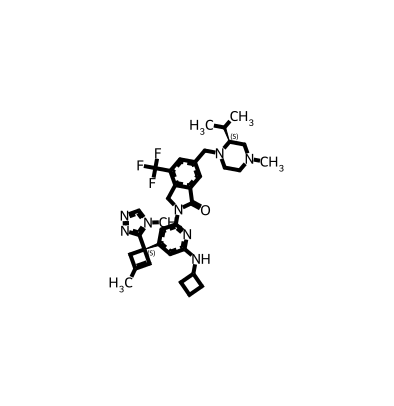 CC1=C[C@@](c2cc(NC3CCC3)nc(N3Cc4c(cc(CN5CCN(C)C[C@@H]5C(C)C)cc4C(F)(F)F)C3=O)c2)(c2nncn2C)C1